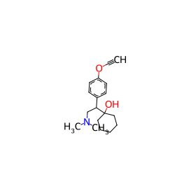 C#COc1ccc(C(CN(C)C)C2(O)CCCCC2)cc1